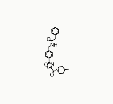 CC1CCN(C(=O)c2coc(-c3ccc(CNC(=O)Cc4ccccc4)cc3)n2)CC1